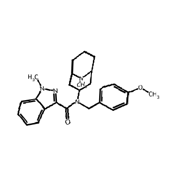 COc1ccc(CN(C(=O)c2nn(C)c3ccccc23)C2CC3CCCC(C2)N3C)cc1